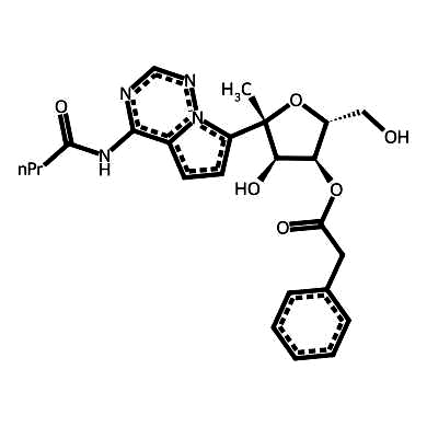 CCCC(=O)Nc1ncnn2c([C@]3(C)O[C@H](CO)[C@@H](OC(=O)Cc4ccccc4)[C@H]3O)ccc12